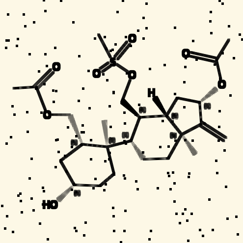 C=C1[C@@H](OC(C)=O)C[C@H]2[C@H](COS(C)(=O)=O)[C@@H]([C@@]3(C)CC[C@H](O)C[C@@H]3COC(C)=O)CC[C@]12C